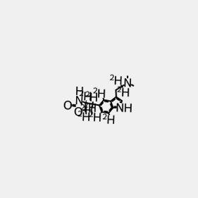 [2H]c1c(C([2H])([2H])[C@]2([2H])NC(=O)OC2([2H])[2H])c([2H])c2c(CC([2H])([2H])N(C)C)c[nH]c2c1[2H]